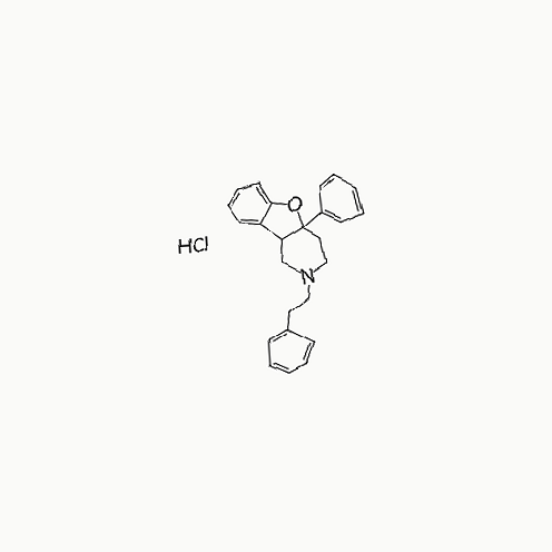 Cl.c1ccc(CCN2CCC3(c4ccccc4)Oc4ccccc4C3C2)cc1